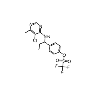 CCC(Nc1ncnc(C)c1Cl)c1ccc(OS(=O)(=O)C(F)(F)F)cc1